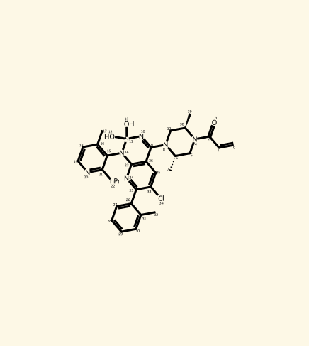 C=CC(=O)N1C[C@H](C)N(C2=NS(O)(O)N(c3c(C)ccnc3CCC)c3nc(-c4ccccc4C)c(Cl)cc32)C[C@H]1C